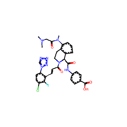 CN(C)CC(=O)N(C)c1cccc2c1CCN(C(=O)/C=C/c1c(-n3cnnn3)ccc(Cl)c1F)C2C(=O)Nc1ccc(C(=O)O)cc1